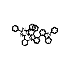 C1=CC(c2nc(-c3ccccc3)nc(-c3ccccc3)n2)C(n2c3cccc(-c4cccc5c4c4ccccc4n5-c4ccccc4)c3c3c4ccccc4ccc32)C=C1